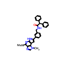 CNc1nc2[nH]c(-c3cccc(CNC(=O)C(c4ccccc4)c4ccccc4)c3)cc2c2c1ncn2C